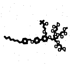 CCCCCCCCc1ccc(COc2ccc(-c3ccc(OCC(COC(=O)CC(=O)OC)(COC(=O)CC(=O)OC)COC(=O)CC(=O)OC)c(COCCC(=O)C(C)(C)C)c3)cc2)cc1